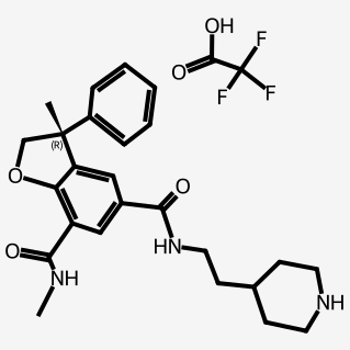 CNC(=O)c1cc(C(=O)NCCC2CCNCC2)cc2c1OC[C@]2(C)c1ccccc1.O=C(O)C(F)(F)F